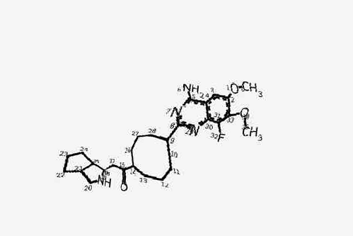 COc1cc2c(N)nc(C3CCCCC(C(=O)C[C@H]4NCC5CCCC54)CCC3)nc2c(F)c1OC